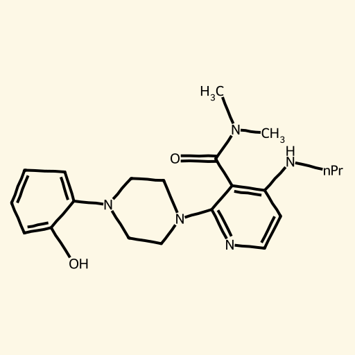 CCCNc1ccnc(N2CCN(c3ccccc3O)CC2)c1C(=O)N(C)C